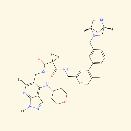 CCc1nc2c(cnn2CC)c(NC2CCOCC2)c1CNC(=O)C1(C(=O)NCc2ccc(C)c(-c3cccc(CN4C[C@@H]5C[C@H]4CN5)c3)c2)CC1